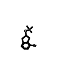 C[Si](C)(C)OC1Cc2cccc(Br)c2C1